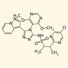 COc1ncnc(OC)c1-n1c(NS(=O)(=O)C(C)C(C)c2ncc(Cl)cn2)nnc1-c1cnn2ccccc12